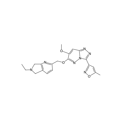 CCN1Cc2ccc(COc3nn4c(-c5cc(C)on5)nnc4cc3OC)nc2C1